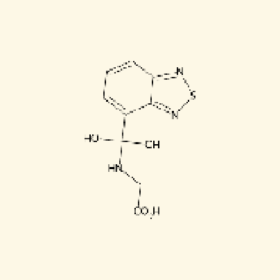 O=C(O)CNC(O)(O)c1cccc2nsnc12